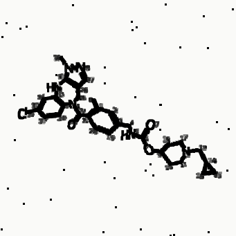 Cc1cc(CNC(=O)OC2CCN(CC3CC3)CC2)ccc1C(=O)N1Cc2cnn(C)c2Nc2cc(Cl)ccc21